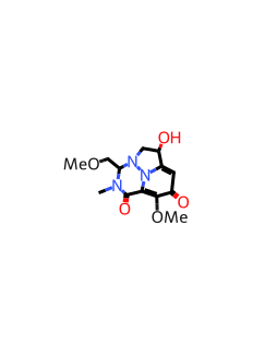 COCC1N(C)C(=O)c2c(OC)c(=O)cc3n2N1CC3O